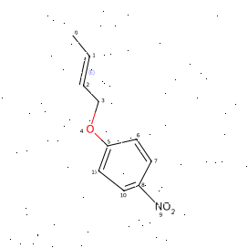 C/C=C/COc1ccc([N+](=O)[O-])cc1